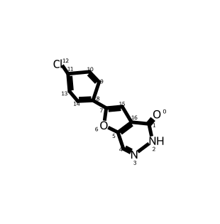 O=c1[nH]ncc2oc(-c3ccc(Cl)cc3)cc12